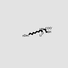 CCCCCCCCCCCCCCCCCC(=O)N[C@@H](CS)C(=O)[O-].[Li+]